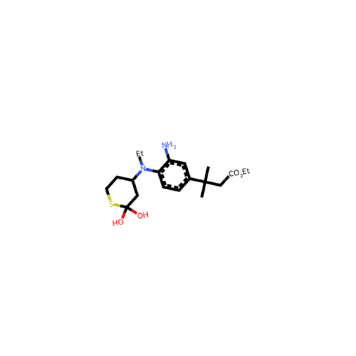 CCOC(=O)CC(C)(C)c1ccc(N(CC)C2CCSC(O)(O)C2)c(N)c1